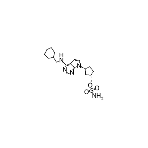 NS(=O)(=O)OC[C@H]1CC[C@H](n2ccc3c(NCC4CCCCC4)ncnc32)C1